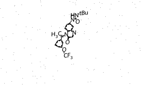 C[C@H](c1cccc(OCC(F)(F)F)c1)n1c(=O)cnc2cc(NC(=O)NC(C)(C)C)ccc21